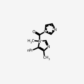 CCCC1=C(C)N=C[N+]1(C)C(=O)n1ccnc1